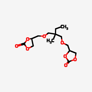 CCC(C)(COCC1COC(=O)O1)COCC1COC(=O)O1